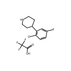 Fc1ccc(Cl)c(C2CCNCC2)c1.O=C(O)C(F)(F)F